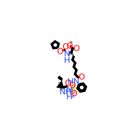 C=C[C@@H]1C[C@]1(N)C(=O)NS(=O)(=O)c1ccccc1NC(=O)CCCCCC[C@H](NC(=O)OC1CCCC1)C(=O)OC